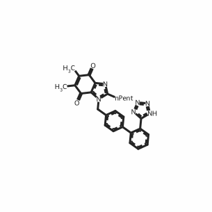 CCCCCc1nc2c(n1Cc1ccc(-c3ccccc3-c3nnn[nH]3)cc1)C(=O)C(C)=C(C)C2=O